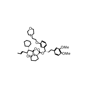 C/C=C/[C@@H](O)[C@@H](C(=O)N1CCCC[C@@H]1C(=O)O[C@@H](CCc1ccc(OC)c(OC)c1)c1cccc(OCCN2CCOCC2)c1)C1CCCCC1